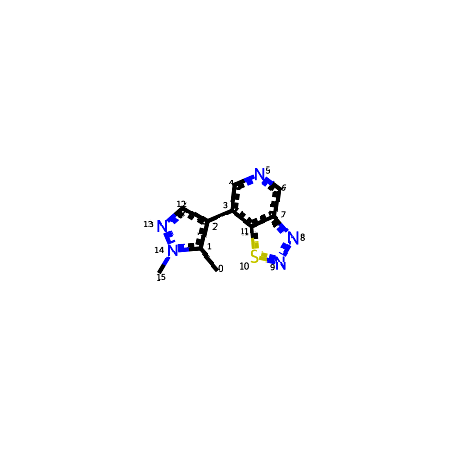 Cc1c(-c2cncc3nnsc23)cnn1C